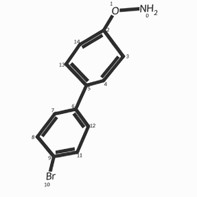 NOc1ccc(-c2ccc(Br)cc2)cc1